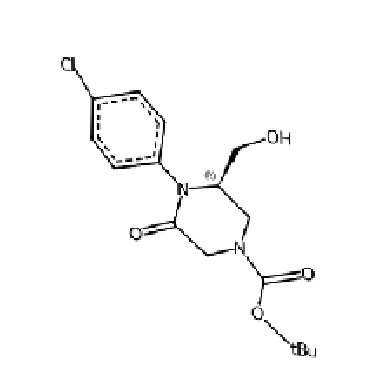 CC(C)(C)OC(=O)N1CC(=O)N(c2ccc(Cl)cc2)[C@@H](CO)C1